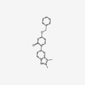 Cc1c2cc(-n3ccc(OCc4ccccc4)cc3=O)ccc2nn1C